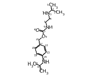 CC(C)NCCNC(=O)OCc1ccc(NC(C)C)cc1